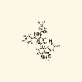 C=C(C#N)CN1Cc2c(-c3ccc4c(n3)c(-c3ccccc3)nn4C(=O)OC(C)(C)C)ccc(N)c2C1=O